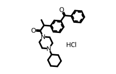 CC(C(=O)N1CCN(C2CCCCC2)CC1)c1cccc(C(=O)c2ccccc2)c1.Cl